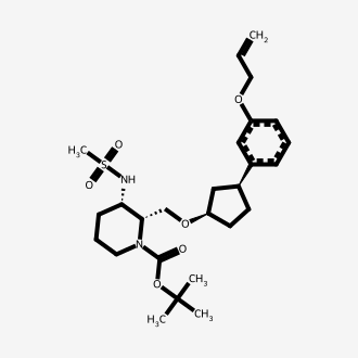 C=CCOc1cccc([C@H]2CC[C@@H](OC[C@H]3[C@@H](NS(C)(=O)=O)CCCN3C(=O)OC(C)(C)C)C2)c1